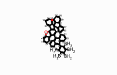 Bc1c(B)c(B)c(-c2c3ccccc3c(-c3cc4c(c5oc6ccccc6c35)-c3ccccc3C43c4ccccc4-c4ccccc43)c3ccccc23)c(B)c1B